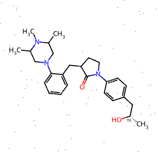 CC1CN(c2ccccc2CC2CCN(c3ccc(C[C@H](C)O)cc3)C2=O)CC(C)N1C